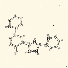 Fc1ccc(-c2ccccn2)cc1-c1nc(-c2ccccn2)no1